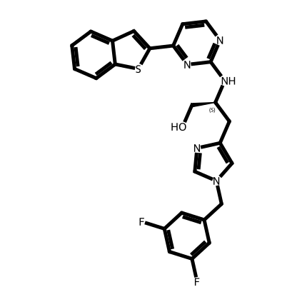 OC[C@H](Cc1cn(Cc2cc(F)cc(F)c2)cn1)Nc1nccc(-c2cc3ccccc3s2)n1